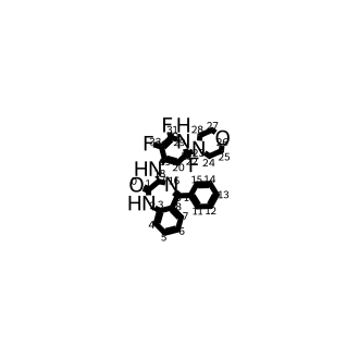 O=C1Nc2ccccc2C(c2ccccc2)=N[C@@H]1NC1=CC(F)(N2CCOCC2)NC(F)=C1F